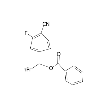 CCCC(OC(=O)c1ccccc1)c1ccc(C#N)c(F)c1